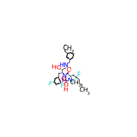 CCCCC(F)(F)C[C@H](C(=O)N[C@@H](Cc1cc(F)cc(F)c1)[C@H](O)CNCc1cccc(CC)c1)N(C)C(=O)O